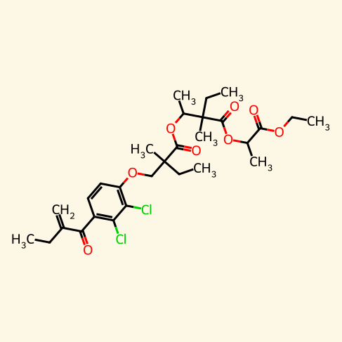 C=C(CC)C(=O)c1ccc(OCC(C)(CC)C(=O)OC(C)C(C)(CC)C(=O)OC(C)C(=O)OCC)c(Cl)c1Cl